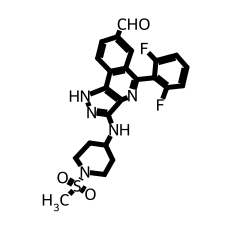 CS(=O)(=O)N1CCC(Nc2n[nH]c3c2nc(-c2c(F)cccc2F)c2cc(C=O)ccc23)CC1